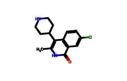 Cc1[nH]c(=O)c2cc(Cl)ccc2c1C1CCNCC1